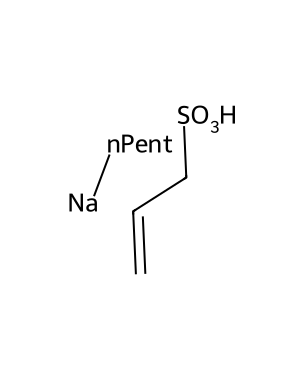 C=CCS(=O)(=O)O.CCCC[CH2][Na]